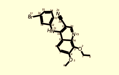 CCOc1c(OC)ccc2c(Nc3cccc(Br)c3)c(C#N)cnc12